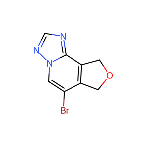 Brc1cn2ncnc2c2c1COC2